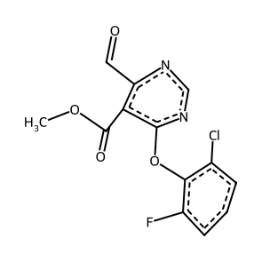 COC(=O)c1c(C=O)ncnc1Oc1c(F)cccc1Cl